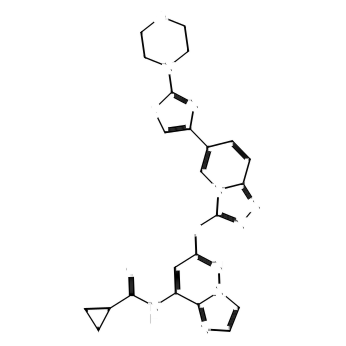 O=C(Nc1cc(Sc2nnc3ccc(-c4csc(N5CCOCC5)n4)cn23)nn2ccnc12)C1CC1